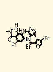 CCc1ccc(Nc2nsnc2N[C@H](CC)c2cc(C(C)C)co2)c(O)c1C(=O)N(C)C